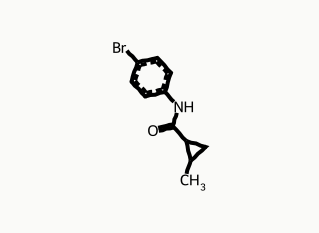 CC1CC1C(=O)Nc1ccc(Br)cc1